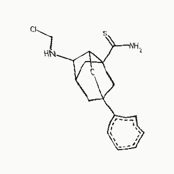 NC(=S)C12CC3CC(c4ccccc4)(CC1C3NCCl)C2